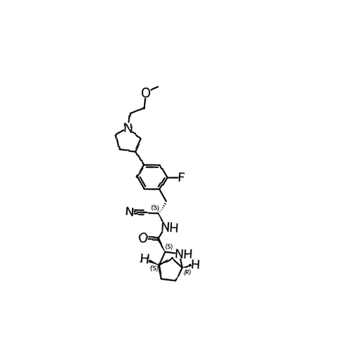 COCCN1CCC(c2ccc(C[C@@H](C#N)NC(=O)[C@H]3N[C@@H]4CC[C@H]3C4)c(F)c2)C1